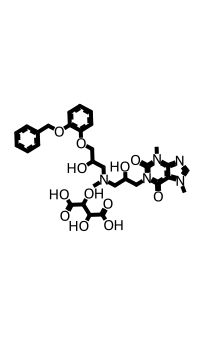 CN(CC(O)COc1ccccc1OCc1ccccc1)CC(O)Cn1c(=O)c2c(ncn2C)n(C)c1=O.O=C(O)C(O)C(O)C(=O)O